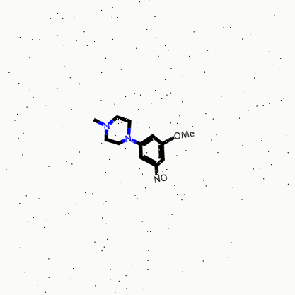 COc1cc(N=O)cc(N2CCN(C)CC2)c1